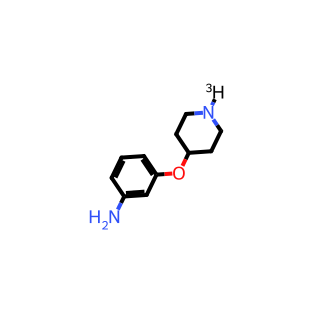 [3H]N1CCC(Oc2cccc(N)c2)CC1